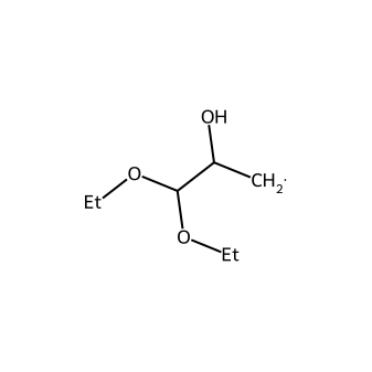 [CH2]C(O)C(OCC)OCC